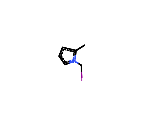 Cc1cccn1CI